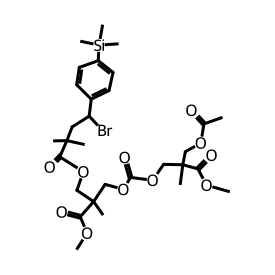 COC(=O)C(C)(COC(C)=O)COC(=O)OCC(C)(COC(=O)C(C)(C)CC(Br)c1ccc([Si](C)(C)C)cc1)C(=O)OC